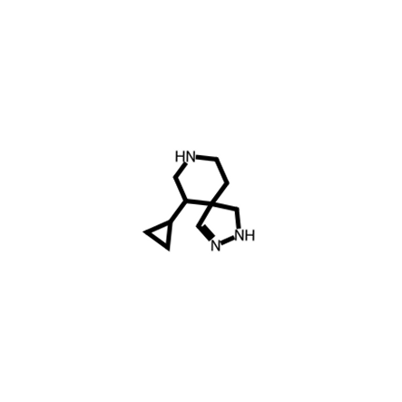 C1=NNCC12CCNCC2C1CC1